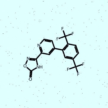 O=c1[nH]c(-c2cc(-c3cc(C(F)(F)F)ccc3C(F)(F)F)ccn2)no1